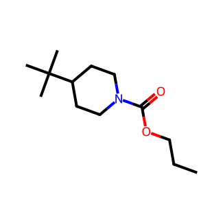 CCCOC(=O)N1CCC(C(C)(C)C)CC1